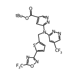 CC(C)(C)OC(=O)c1cnnc(N(Cc2ccc(-c3noc(C(F)(F)F)n3)s2)c2cc(C(F)(F)F)cnn2)c1